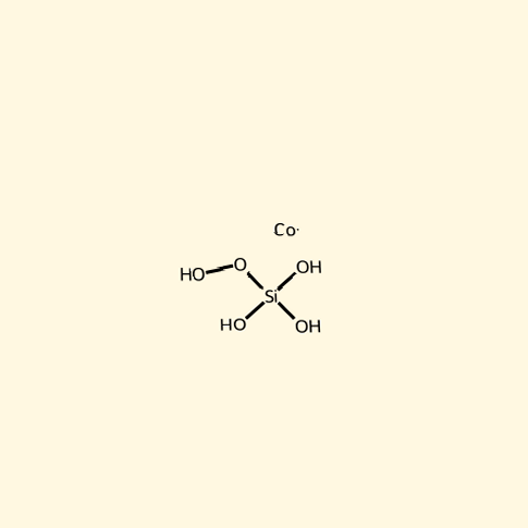 OO[Si](O)(O)O.[Co]